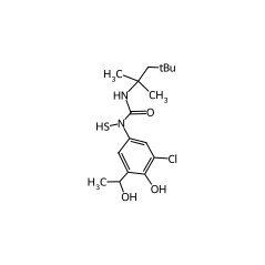 CC(O)c1cc(N(S)C(=O)NC(C)(C)CC(C)(C)C)cc(Cl)c1O